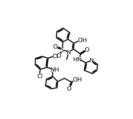 CN1C(C(=O)Nc2ccccn2)=C(O)c2ccccc2S1(=O)=O.O=C(O)Cc1ccccc1Nc1c(Cl)cccc1Cl